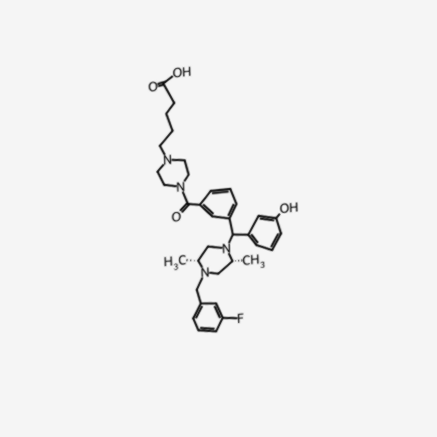 C[C@@H]1CN(C(c2cccc(O)c2)c2cccc(C(=O)N3CCN(CCCCC(=O)O)CC3)c2)[C@H](C)CN1Cc1cccc(F)c1